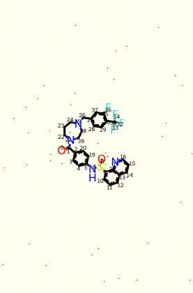 O=C(c1ccc(N[S+]([O-])c2cccc3cccnc23)cc1)N1CCCN(Cc2ccc(C(F)(F)F)c(F)c2)CC1